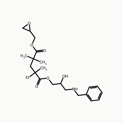 CCC(C)(CC(C)(C)C(=O)OCC1CO1)C(=O)OCC(O)CNCc1ccccc1